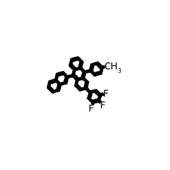 Cc1ccc(-c2c3ccccc3c(-c3ccc4ccccc4c3)c3ccc(-c4cc(F)c(F)c(F)c4)cc23)cc1